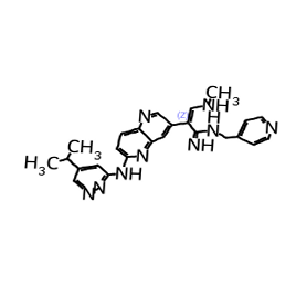 CN/C=C(\C(=N)NCc1ccncc1)c1cnc2ccc(Nc3cc(C(C)C)cnn3)nc2c1